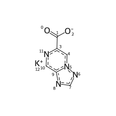 O=C([O-])c1cn2ncnc2cn1.[K+]